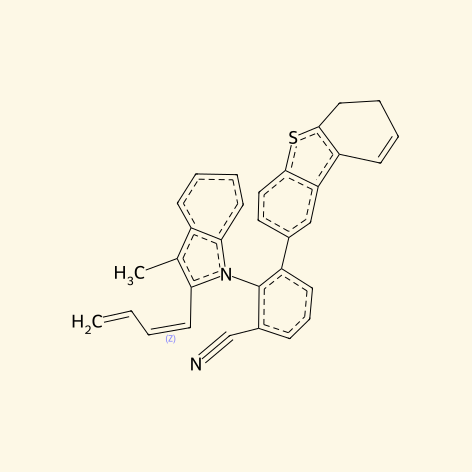 C=C/C=C\c1c(C)c2ccccc2n1-c1c(C#N)cccc1-c1ccc2sc3c(c2c1)C=CCC3